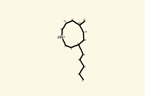 CCCCCC1CCNCCCC(C)CC1